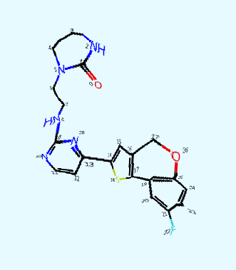 O=C1NCCN1CCNc1nccc(-c2cc3c(s2)-c2cc(F)ccc2OC3)n1